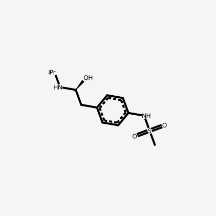 CC(C)N[C@@H](O)Cc1ccc(NS(C)(=O)=O)cc1